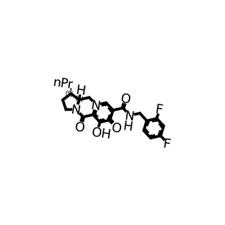 CCC[C@H]1CCN2C(=O)c3c(O)c(=O)c(C(=O)NCc4ccc(F)cc4F)cn3C[C@@H]12